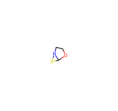 C1CN2SC2O1